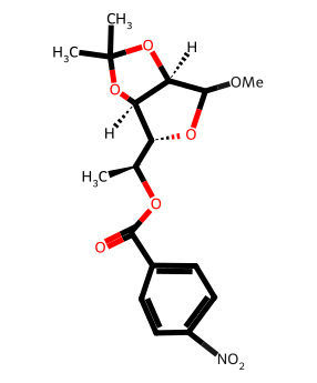 COC1O[C@H]([C@H](C)OC(=O)c2ccc([N+](=O)[O-])cc2)[C@H]2OC(C)(C)O[C@@H]12